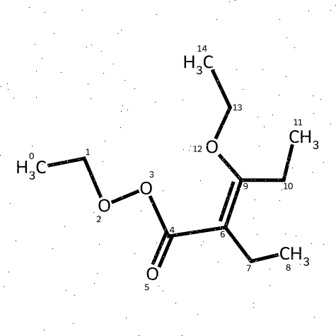 CCOOC(=O)C(CC)=C(CC)OCC